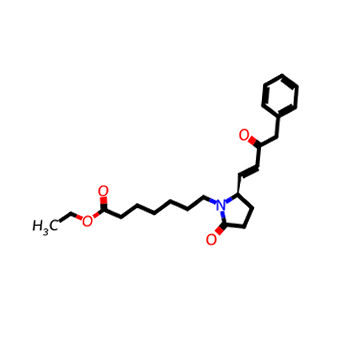 CCOC(=O)CCCCCCN1C(=O)CC[C@@H]1C=CC(=O)Cc1ccccc1